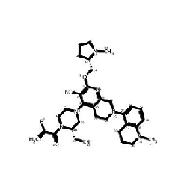 C=C(F)C(=O)N1CCN(c2c(C#N)c(OC[C@@H]3CCCN3C)nc3c2CCN(c2cccc4c2CCCN4C)C3)C[C@@H]1CC#N